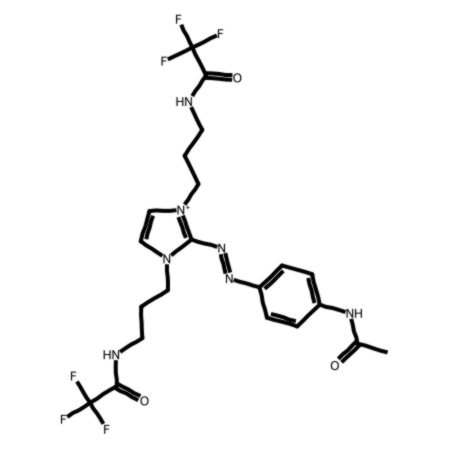 CC(=O)Nc1ccc(/N=N/c2n(CCCNC(=O)C(F)(F)F)cc[n+]2CCCNC(=O)C(F)(F)F)cc1